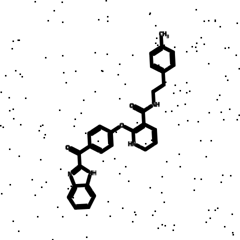 Cc1ccc(CCNC(=O)C2=C(Oc3ccc(C(=O)c4nc5ccccc5[nH]4)cc3)NCC=C2)cc1